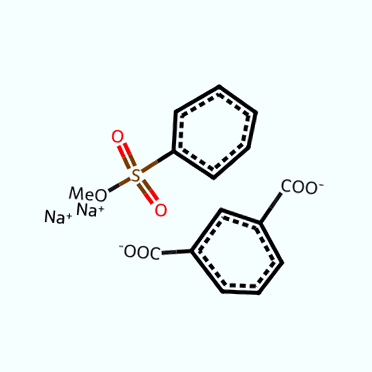 COS(=O)(=O)c1ccccc1.O=C([O-])c1cccc(C(=O)[O-])c1.[Na+].[Na+]